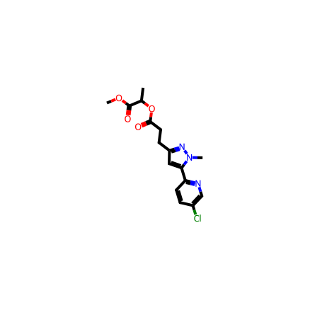 COC(=O)C(C)OC(=O)CCc1cc(-c2ccc(Cl)cn2)n(C)n1